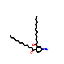 CCCCCCCCCCCC(=O)C1=CC(=[N+]=[N-])C=CC1C(=O)CCCCCCCCCCC